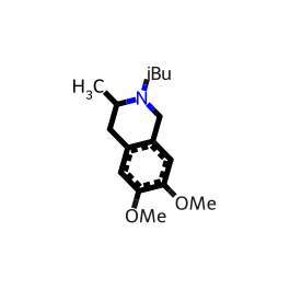 CCC(C)N1Cc2cc(OC)c(OC)cc2CC1C